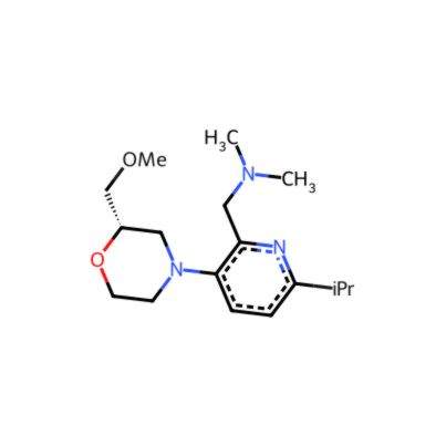 COC[C@@H]1CN(c2ccc(C(C)C)nc2CN(C)C)CCO1